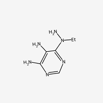 CCN(N)c1ncnc(N)c1N